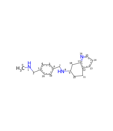 CNCc1ccc(CNC2CCc3cccnc3C2)cc1